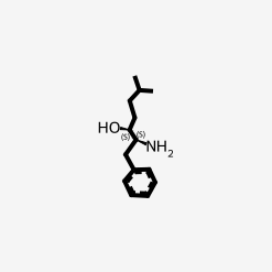 CC(C)CC[C@H](O)[C@@H](N)Cc1ccccc1